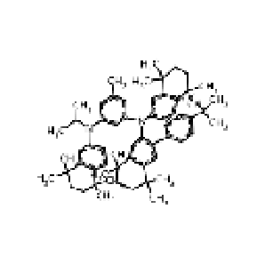 Cc1cc(N(c2ccc3c(c2)C(C)(C)CCC3(C)C)c2cc3c(cc2-c2ccc(C(C)(C)C)cc2)C(C)(C)CCC3(C)C)cc(N(c2ccc3c(c2)C(C)(C)CCC3(C)C)C(C)C)c1